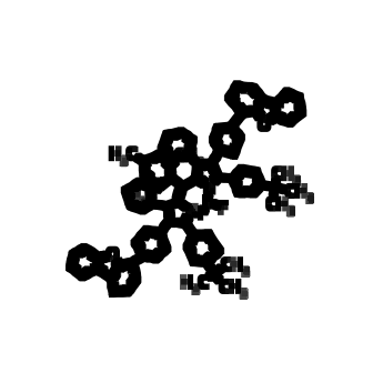 Cc1cc(C)c(/C(=C2/N=C(c3ccc(C(C)(C)C)cc3)C(c3ccc(-c4cccc5c4oc4ccccc45)cc3)=C2c2ccccc2)c2c(-c3ccccc3)c(-c3ccc(-c4cccc5c4oc4ccccc45)cc3)c(-c3ccc(C(C)(C)C)cc3)n2B(F)F)c(C)c1